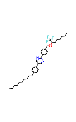 CCCCCCCCCCc1ccc(-c2cnc(-c3ccc(COC(CCCCCC)C(F)(F)F)cc3)nc2)cc1